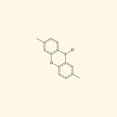 Cc1ccc2c(c1)Oc1ccc(C)cc1[S+]2[O-]